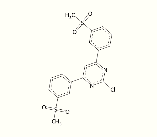 CS(=O)(=O)c1cccc(-c2cc(-c3cccc(S(C)(=O)=O)c3)nc(Cl)n2)c1